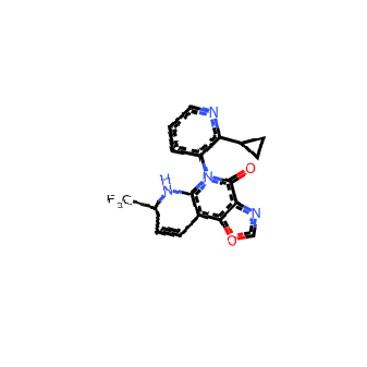 O=c1c2ncoc2c2c(n1-c1cccnc1C1CC1)NC(C(F)(F)F)C=C2